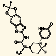 C[C@@H](C(=O)Nc1nc2cc3c(cc2s1)OC(F)(F)O3)N1CCC(F)(F)[C@@H](c2ccc(=O)[nH]c2)C1